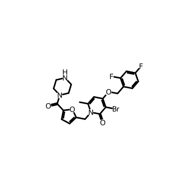 Cc1cc(OCc2ccc(F)cc2F)c(Br)c(=O)n1Cc1ccc(C(=O)N2CCNCC2)o1